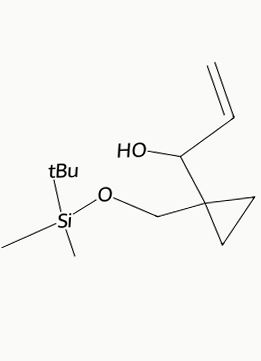 C=CC(O)C1(CO[Si](C)(C)C(C)(C)C)CC1